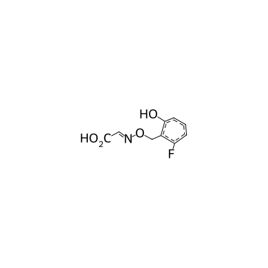 O=C(O)C=NOCc1c(O)cccc1F